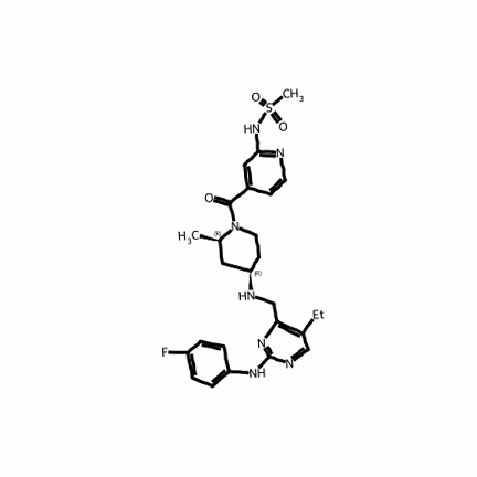 CCc1cnc(Nc2ccc(F)cc2)nc1CN[C@@H]1CCN(C(=O)c2ccnc(NS(C)(=O)=O)c2)[C@H](C)C1